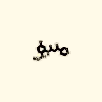 O=C(O)Nc1ccc(Br)cc1NC(=O)CC(=O)c1ccnnc1